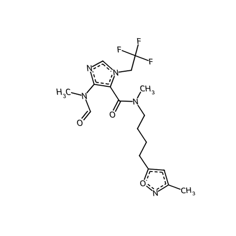 Cc1cc(CCCCN(C)C(=O)c2c(N(C)C=O)ncn2CC(F)(F)F)on1